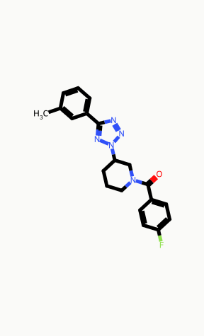 Cc1cccc(-c2nnn(C3CCCN(C(=O)c4ccc(F)cc4)C3)n2)c1